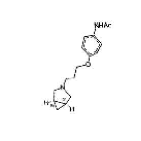 CC(=O)Nc1ccc(OCCCN2C[C@H]3C[C@H]3C2)cc1